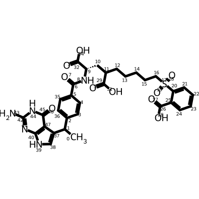 CC(c1ccc(C(=O)N[C@@H](CC(CCCCCS(=O)(=O)c2ccccc2C(=O)O)C(=O)O)C(=O)O)cc1)c1c[nH]c2nc(N)[nH]c(=O)c12